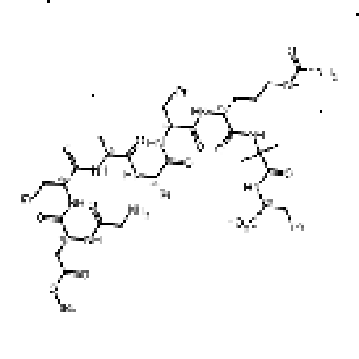 CC[C@H](NC(=O)[C@H](C)NC(=O)[C@H](CC(C)C)NC(=O)[C@H](CC(=O)OC(C)(C)C)NC(=O)CN)C(=O)N[C@@H](CC(C)C)C(=O)N[C@@H](CCCNC(N)=O)C(=O)NC(C)(C)C(=O)N[C@@H](CC(C)C)C(=O)O